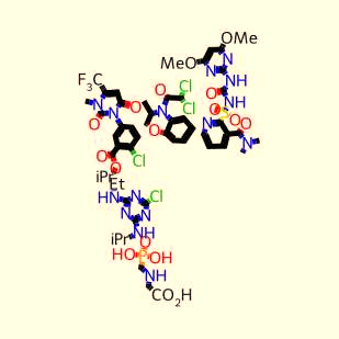 CC(C)OC(=O)c1cc(-n2c(=O)cc(C(F)(F)F)n(C)c2=O)ccc1Cl.CC1COc2ccccc2N1C(=O)C(Cl)Cl.CCNc1nc(Cl)nc(NC(C)C)n1.COc1cc(OC)nc(NC(=O)NS(=O)(=O)c2ncccc2C(=O)N(C)C)n1.O=C(O)CNCP(=O)(O)O